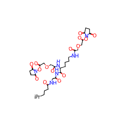 CC(C)CCCC(=O)NCC(=O)NC(=O)C(CCCCNC(=O)COCC(=O)ON1C(=O)CCC1=O)NC(=O)COCC(=O)ON1C(=O)CCC1=O